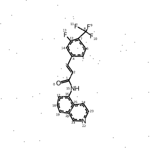 O=C(C=Cc1ccc(C(F)(F)F)c(F)c1)Nc1cccc2cnccc12